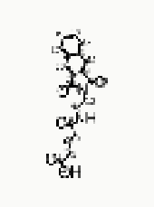 O=C(O)CSCC(=O)NCCN1C(=O)c2cc3ccccc3cc2C1=O